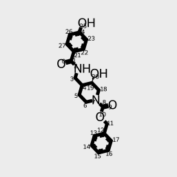 O=C(NCC1CCN(C(=O)OCc2ccccc2)C[C@H]1O)c1ccc(O)cc1